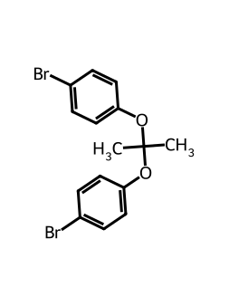 CC(C)(Oc1ccc(Br)cc1)Oc1ccc(Br)cc1